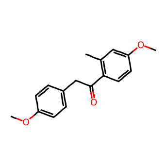 COc1ccc(CC(=O)c2ccc(OC)cc2C)cc1